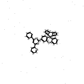 c1ccc(-c2cc(-c3ccccn3)nc(-c3ccc4c(c3)Sc3ccccc3C43c4ccccc4-c4ccccc43)n2)cc1